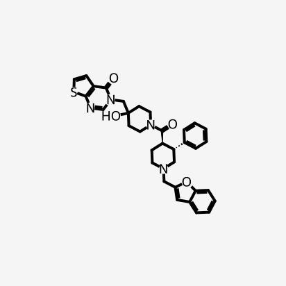 O=C([C@@H]1CCN(Cc2cc3ccccc3o2)C[C@H]1c1ccccc1)N1CCC(O)(Cn2cnc3sccc3c2=O)CC1